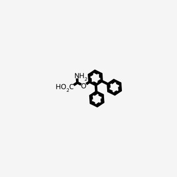 NC(Oc1cccc(-c2ccccc2)c1-c1ccccc1)C(=O)O